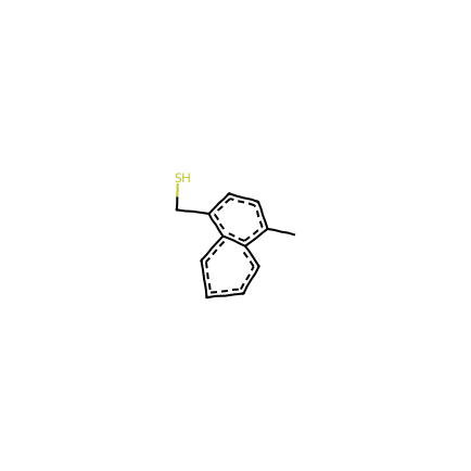 Cc1ccc(CS)c2ccccc12